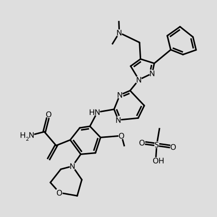 C=C(C(N)=O)c1cc(Nc2nccc(-n3cc(CN(C)C)c(-c4ccccc4)n3)n2)c(OC)cc1N1CCOCC1.CS(=O)(=O)O